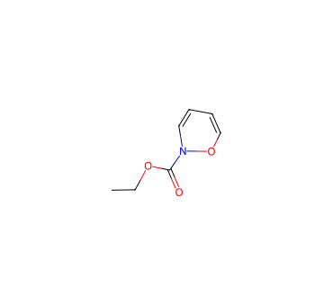 CCOC(=O)N1C=CC=CO1